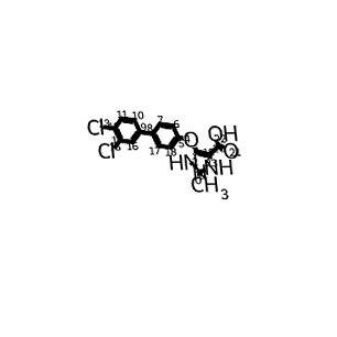 CN1NC(Oc2ccc(-c3ccc(Cl)c(Cl)c3)cc2)=C(C(=O)O)N1